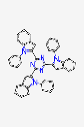 c1ccc(-n2c(-c3nc(-c4cc5ccccc5n4-c4ccccc4)nc(-c4cc5ccccc5n4-c4ccccc4)n3)cc3ccccc32)cc1